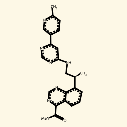 CNC(=O)c1ncnc2c([C@H](C)CNc3cc(-c4ccc(C)nc4)ncn3)cccc12